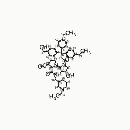 CCc1ccc(C(CC(=O)N2C[C@H](O)C[C@H]2N2CCC(=C=O)[C@@H]2C(=O)NC[C@H]2CCCN(CC)C2)(c2ccc(CC)cc2)c2ccc(CC)cc2)cc1